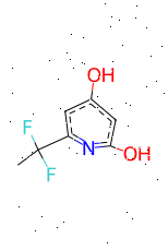 CC(F)(F)c1cc(O)cc(O)n1